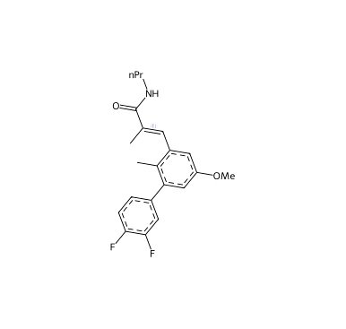 CCCNC(=O)/C(C)=C/c1cc(OC)cc(-c2ccc(F)c(F)c2)c1C